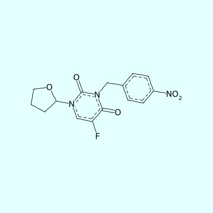 O=c1c(F)cn(C2CCCO2)c(=O)n1Cc1ccc([N+](=O)[O-])cc1